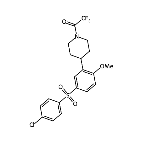 COc1ccc(S(=O)(=O)c2ccc(Cl)cc2)cc1C1CCN(C(=O)C(F)(F)F)CC1